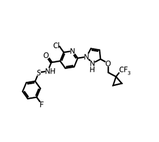 O=C(NSc1cccc(F)c1)c1ccc(N2C=CC(OCC3(C(F)(F)F)CC3)N2)nc1Cl